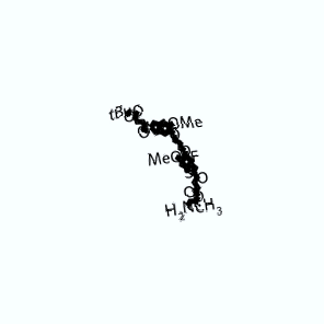 COc1cc2c(cc1OCCCOc1c(OC)cc3sc(C(=O)CCC(=O)O[C@@H](C)CN)cc3c1F)CN(C(=O)CCC(=O)OC(C)(C)C)C2